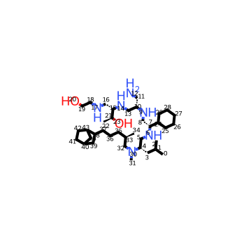 CC(C)C[C@@H](CN[C@H](CN[C@@H](CN)CN[C@@H](CNCCO)[C@H](C)O)C1CCCCC1)N(C)C[C@H](C)CCCC1CC2CCC1C2